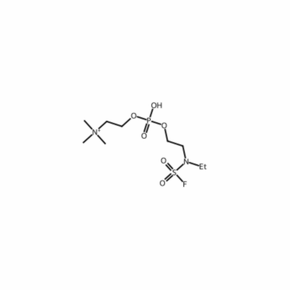 CCN(CCOP(=O)(O)OCC[N+](C)(C)C)S(=O)(=O)F